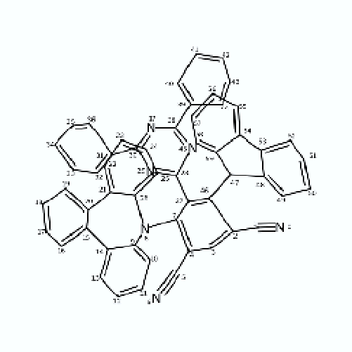 N#Cc1cc(C#N)c(N2c3ccccc3-c3ccccc3-c3ccccc32)c(-c2nc(-c3ccccc3)nc(-c3ccccc3)n2)c1C1c2ccccc2-c2ccccc21